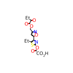 CCC(=O)C(=O)OCc1cc(-c2nc(OC(=O)C(=O)O)sc2CC)on1